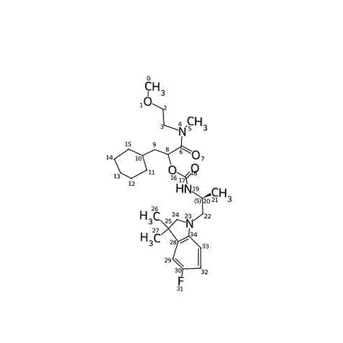 COCCN(C)C(=O)C(CC1CCCCC1)OC(=O)N[C@@H](C)CN1CC(C)(C)c2cc(F)ccc21